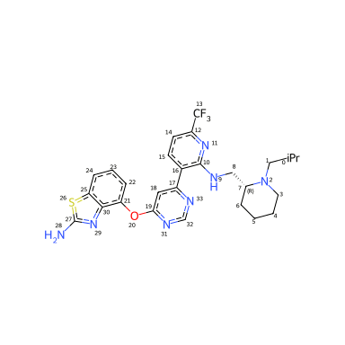 CC(C)CN1CCCC[C@@H]1CNc1nc(C(F)(F)F)ccc1-c1cc(Oc2cccc3sc(N)nc23)ncn1